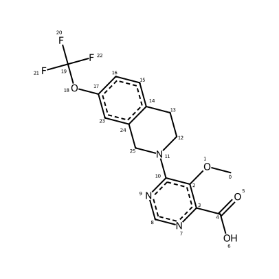 COc1c(C(=O)O)ncnc1N1CCc2ccc(OC(F)(F)F)cc2C1